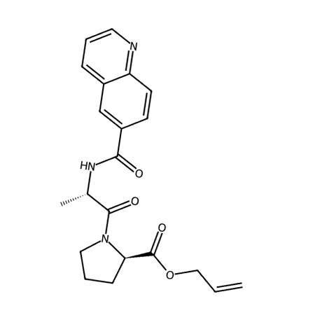 C=CCOC(=O)[C@H]1CCCN1C(=O)[C@H](C)NC(=O)c1ccc2ncccc2c1